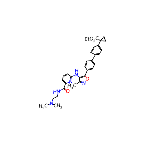 CCOC(=O)C1(c2ccc(-c3ccc(-c4onc(C)c4Nc4cccc(C(=O)NCCN(C)C)n4)cc3)cc2)CC1